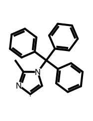 Cc1n[c]cn1C(c1ccccc1)(c1ccccc1)c1ccccc1